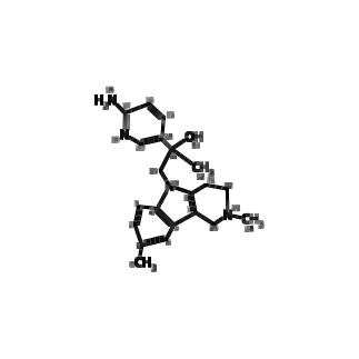 Cc1ccc2c(c1)c1c(n2CC(C)(O)c2ccc(N)nc2)CCN(C)C1